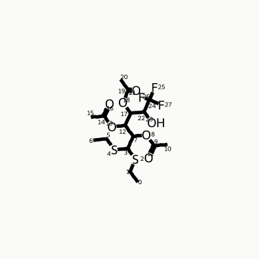 CCSC(SCC)C(OC(C)=O)C(OC(C)=O)C(OC(C)=O)C(O)C(F)(F)F